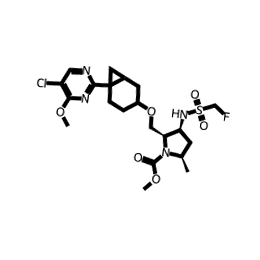 COC(=O)N1[C@H](C)C[C@H](NS(=O)(=O)CF)[C@@H]1COC1CCC2(c3ncc(Cl)c(OC)n3)CC2C1